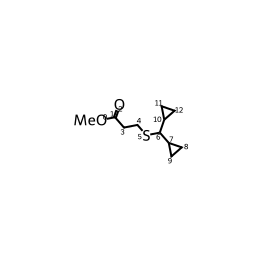 COC(=O)CCSC(C1CC1)C1CC1